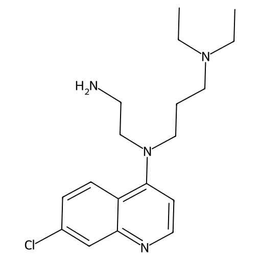 CCN(CC)CCCN(CCN)c1ccnc2cc(Cl)ccc12